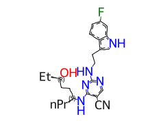 CCC[C@@H](CC[C@H](O)CC)Nc1nc(NCCc2c[nH]c3cc(F)ccc23)ncc1C#N